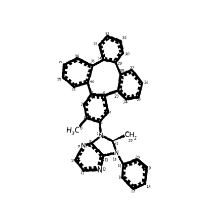 Cc1cc2c(cc1N1c3nccnc3N(c3ccccc3)[C@@H]1C)-c1ccccc1-c1ccccc1-c1ccccc1-2